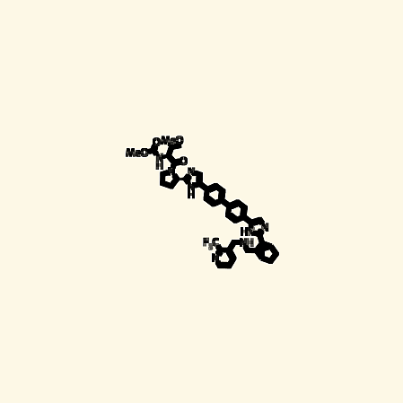 COC(=O)N[C@H](C(=O)N1CCC[C@H]1c1ncc(-c2ccc(-c3ccc(-c4cnc(C5C6CCC(C6)C5CNCc5cccnc5C(F)(F)F)[nH]4)cc3)cc2)[nH]1)[C@@H](C)OC